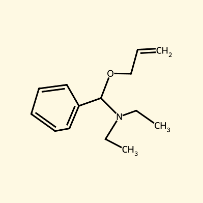 C=CCO[C](c1ccccc1)N(CC)CC